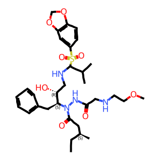 CC[C@H](C)CC(=O)N(NC(=O)CNCCOC)[C@@H](Cc1ccccc1)[C@H](O)CNC(C(C)C)S(=O)(=O)c1ccc2c(c1)OCO2